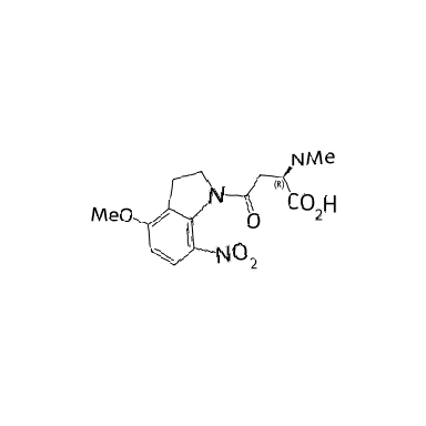 CN[C@H](CC(=O)N1CCc2c(OC)ccc([N+](=O)[O-])c21)C(=O)O